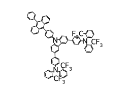 FC(F)(F)c1ccccc1N(c1ccc(-c2ccc3c(c2)c2cc(-c4ccc(N(c5ccccc5C(F)(F)F)c5ccccc5C(F)(F)F)cc4)ccc2n3-c2ccc(-c3c4ccccc4c(-c4ccccc4)c4ccccc34)cc2)cc1)c1ccccc1C(F)(F)F